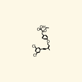 CCO[C@@H](Cc1ccc(OCC=C(C)C#Cc2cc(Cl)cc(Cl)c2)cc1)C(=O)O